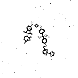 CC(C)(c1ccc(OCc2ccnc(-c3nnco3)n2)cc1)c1ccc(O[C@H]2C[C@@H](Nc3ccc4c(c3)C(=O)N(C3CCC(=O)NC3=O)C4=O)C2)cc1